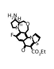 CCOC(=O)c1c(=O)c2cc(F)c3c(c2n2ccsc12)COC[C@@H]1[C@H](N)CCN31